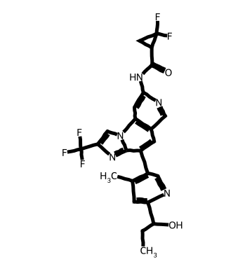 CCC(O)c1cc(C)c(-c2cc3cnc(NC(=O)C4CC4(F)F)cc3n3cc(C(F)(F)F)nc23)cn1